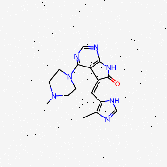 Cc1nc[nH]c1C=C1C(=O)Nc2ncnc(N3CCN(C)CC3)c21